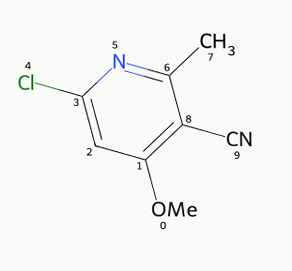 COc1cc(Cl)nc(C)c1C#N